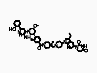 CCc1cn(C2CCN(CC3(F)CCN(C(=O)c4ccc([C@H]5C[C@@H](OC)CN(c6cc(-c7ccccc7O)nnc6N)C5)c(C)c4)CC3)CC2)c2ncc(N3CCC(=O)NC3=O)cc12